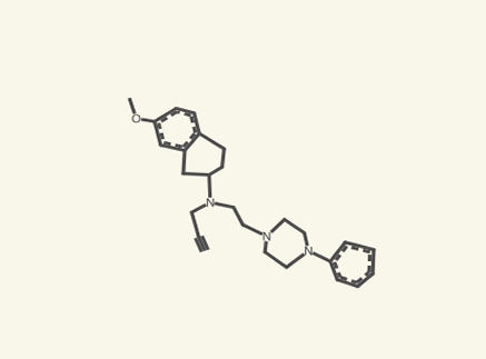 C#CCN(CCN1CCN(c2ccccc2)CC1)C1CCc2ccc(OC)cc2C1